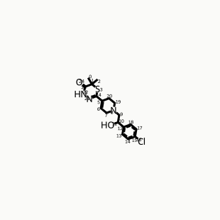 CC1(C)SC(C2=CCN(CC(O)c3ccc(Cl)cc3)CC2)=NNC1=O